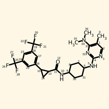 Cc1cnc(NC2CCC(NC(=O)C3CC3c3cc(C(F)(F)F)cc(C(F)(F)F)c3)CC2)nc1N(C)C